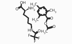 CC(=O)OC(=O)c1c(C)cc(C)cc1C.N[C@@H](CCCCNC(=O)C(F)(F)F)C(=O)O